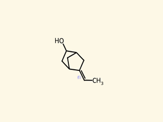 C/C=C1\CC2CC1CC2O